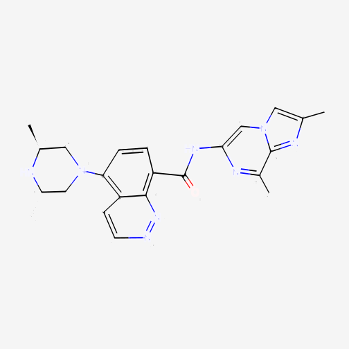 Cc1cn2cc(NC(=O)c3ccc(N4C[C@H](C)N[C@@H](C)C4)c4ccnnc34)nc(C)c2n1